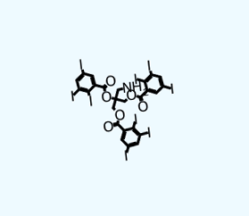 NCC(COC(=O)c1cc(I)cc(I)c1I)(COC(=O)c1cc(I)cc(I)c1I)OC(=O)c1cc(I)cc(I)c1I